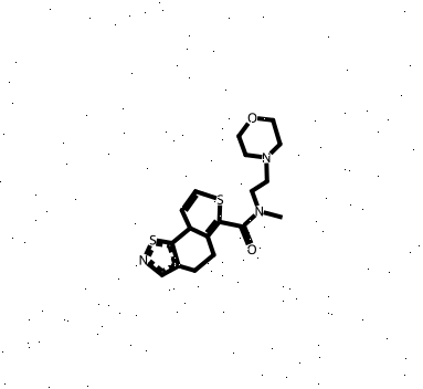 CN(CCN1CCOCC1)C(=O)C1=C2CCc3cnsc3C2C=CS1